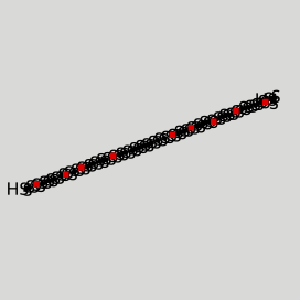 S=[SH](=S)SSSSSSSSSSSSSSSSSSSSSSSSSSSSSSSSSSSSSSSSSSSSSSSSSSSSSSSSSSSSSSSSSSSSSSSSSSSSS